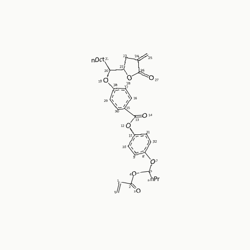 C=CC(=O)OC(CCC)Oc1ccc(OC(=O)c2ccc(OC(CCCCCCCC)C3CC(=C)C(=O)O3)cc2)cc1